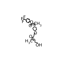 CN(CCCO)C(=O)CCO[C@H]1CC[C@H](N(C)C(=O)Oc2ccc(C(F)(F)F)cc2)CC1